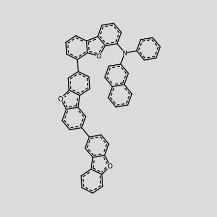 c1ccc(N(c2ccc3ccccc3c2)c2cccc3c2oc2c(-c4ccc5c(c4)oc4ccc(-c6ccc7oc8ccccc8c7c6)cc45)cccc23)cc1